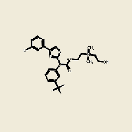 C[N+](C)(CCO)CCNC(=O)N(c1cccc(C(F)(F)F)c1)c1nc(-c2cccc(Cl)c2)cs1